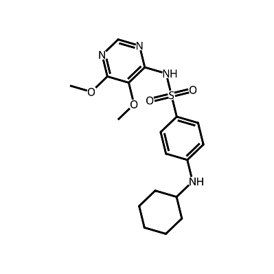 COc1ncnc(NS(=O)(=O)c2ccc(NC3CCCCC3)cc2)c1OC